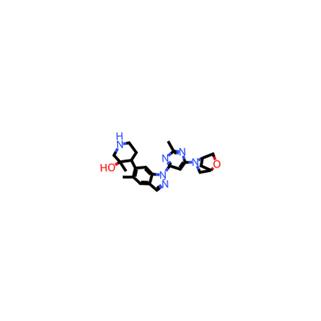 Cc1nc(N2CC3CC2CO3)cc(-n2ncc3cc(C)c(C4CCNCC4(C)O)cc32)n1